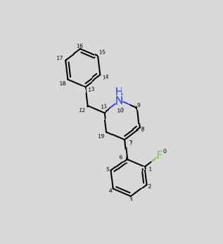 Fc1ccccc1C1=CCNC(Cc2ccccc2)C1